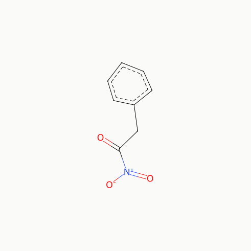 O=C(Cc1ccccc1)[N+](=O)[O-]